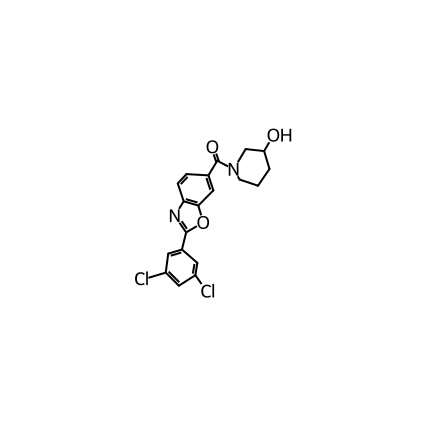 O=C(c1ccc2nc(-c3cc(Cl)cc(Cl)c3)oc2c1)N1CCCC(O)C1